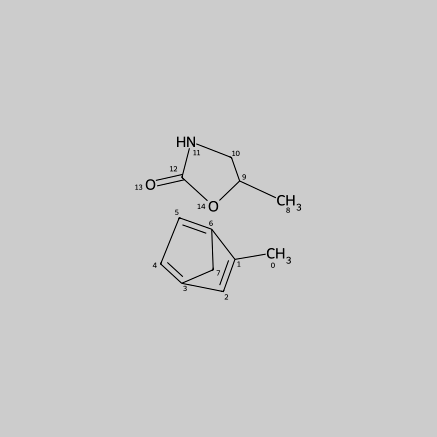 CC1=CC2=CC=C1C2.CC1CNC(=O)O1